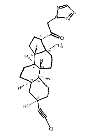 C[C@]12CC[C@H]3[C@@H](CC[C@@H]4C[C@](O)(C#CCl)CC[C@@H]43)[C@@H]1CC[C@@H]2C(=O)Cn1ncnn1